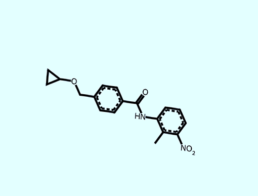 Cc1c(NC(=O)c2ccc(COC3CC3)cc2)cccc1[N+](=O)[O-]